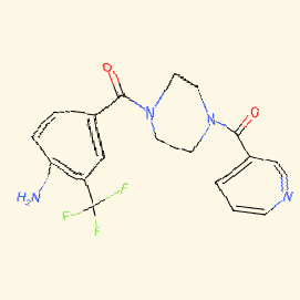 Nc1ccc(C(=O)N2CCN(C(=O)c3cccnc3)CC2)cc1C(F)(F)F